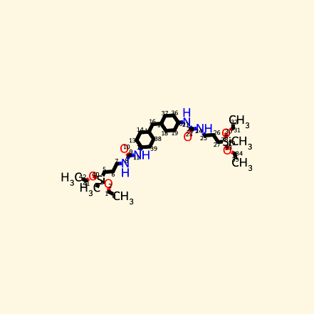 CCO[Si](C)(CCCNC(=O)NC1CCC(CC2CCC(NC(=O)NCCC[Si](C)(OCC)OCC)CC2)CC1)OCC